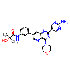 CC(C)(O)C(=O)Nc1cccc(-c2cnc3c(N4CCOCC4)nc(-c4cnc(N)nc4)nc3c2)c1